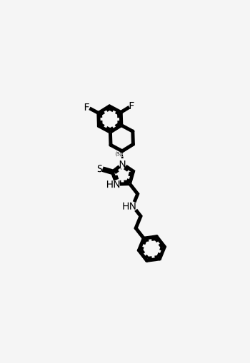 Fc1cc(F)c2c(c1)C[C@@H](n1cc(CNCCc3ccccc3)[nH]c1=S)CC2